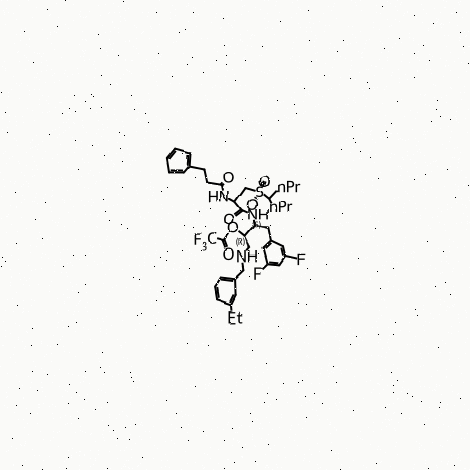 CCCC(CCC)S(=O)(=O)CC(NC(=O)CCc1ccccc1)C(=O)N[C@@H](Cc1cc(F)cc(F)c1)[C@@H](CNCc1cccc(CC)c1)OC(=O)C(F)(F)F